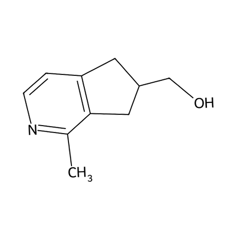 Cc1nccc2c1CC(CO)C2